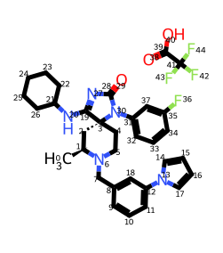 C[C@H]1C[C@]2(CCN1Cc1cccc(-n3cccc3)c1)C(NC1CCCCC1)=NC(=O)N2c1cccc(F)c1.O=C(O)C(F)(F)F